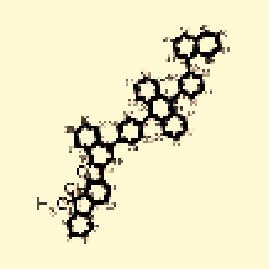 CC1(C)c2ccccc2-c2ccc3c(oc4c5ccccc5c(-c5ccc(-c6c7ccccc7c(-c7cccc(-c8cccc9ccccc89)c7)c7ccccc67)cc5)cc34)c21